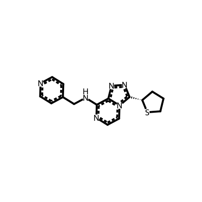 c1cc(CNc2nccn3c([C@@H]4CCCS4)nnc23)ccn1